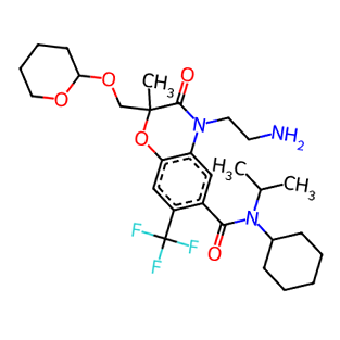 CC(C)N(C(=O)c1cc2c(cc1C(F)(F)F)OC(C)(COC1CCCCO1)C(=O)N2CCN)C1CCCCC1